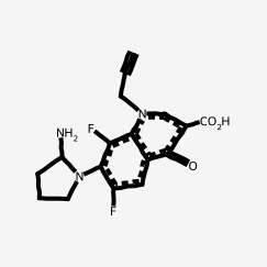 C#CCn1cc(C(=O)O)c(=O)c2cc(F)c(N3CCCC3N)c(F)c21